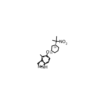 Cc1c(O[C@H]2CCC[C@H](C(C)(C)[N+](=O)[O-])C2)ccc2[nH]ncc12